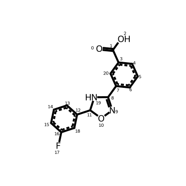 O=C(O)c1cccc(C2=NOC(c3cccc(F)c3)N2)c1